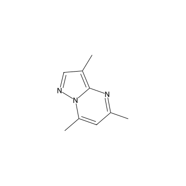 Cc1cc(C)n2ncc(C)c2n1